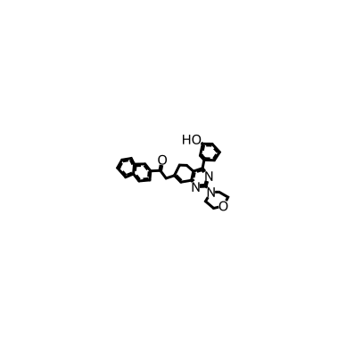 O=C(CC1=Cc2nc(N3CCOCC3)nc(-c3cccc(O)c3)c2CC1)c1ccc2ccccc2c1